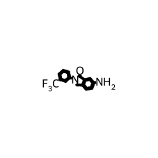 Nc1ccc2c(c1)C(=O)N(c1cccc(C(F)(F)F)c1)C2